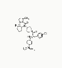 C[C@@H]1CC[C@@H](C)N1C(=O)N(C1CCCCC1)C1CCN(C(=O)[C@@H](Cc2ccc(Cl)cc2)NC2CCC(N(C)C)CC2)CC1